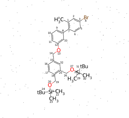 Cc1cc(Br)ccc1-c1cccc(OCc2ccc(CO[Si](C)(C)C(C)(C)C)c(CO[Si](C)(C)C(C)(C)C)c2)c1